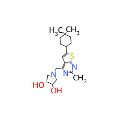 Cc1nc(CN2C[C@@H](O)[C@H](O)C2)c2cc(C3CCC(C)(C)CC3)sc2n1